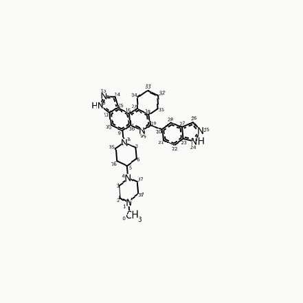 CN1CCN(C2CCN(c3cc4[nH]ncc4c4c5c(c(-c6ccc7[nH]ncc7c6)nc34)CCCC5)CC2)CC1